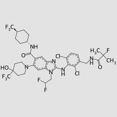 CC(C)(F)C(=O)NCc1ccc(Cl)c(Nc2nc3cc(C(=O)N[C@H]4CC[C@H](C(F)(F)F)CC4)c(N4CCC(O)(C(F)(F)F)CC4)cc3n2CC(F)F)c1Cl